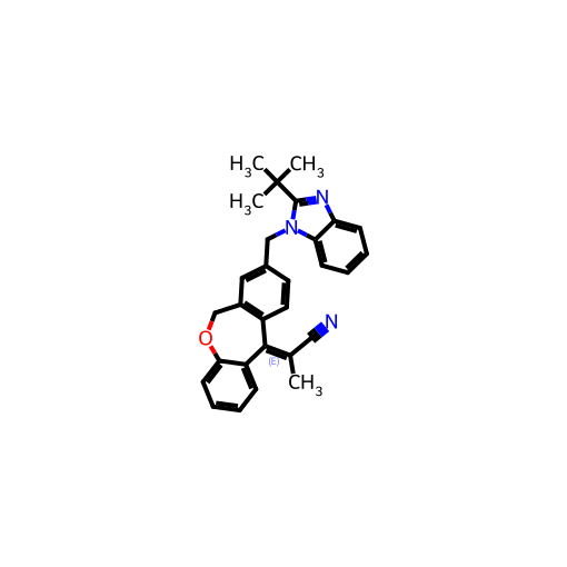 C/C(C#N)=C1/c2ccc(Cn3c(C(C)(C)C)nc4ccccc43)cc2COc2ccccc21